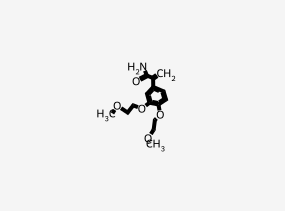 C=C(C(N)=O)c1ccc(OCCOC)c(OCCOC)c1